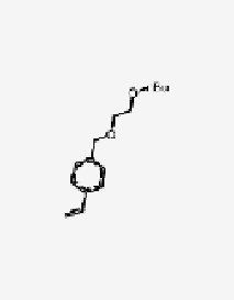 C=Cc1ccc(COCCOCCCC)cc1